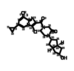 O=C(c1nc2c(C(F)(F)F)cc(C3CC3)cn2c1Cl)N1CCN([C@H]2C[C@H]3C[C@H](O)C[C@H]3C2)C(=O)C1